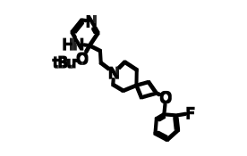 CC(C)(C)OC1(CCN2CCC3(CC2)CC(Oc2ccccc2F)C3)C=NC=CN1